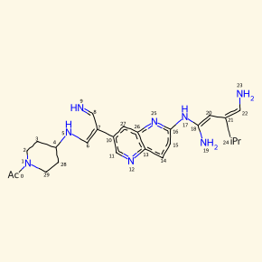 CC(=O)N1CCC(N/C=C(\C=N)c2cnc3ccc(N/C(N)=C/C(=C\N)C(C)C)nc3c2)CC1